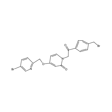 O=C(Cn1ccc(OCc2ccc(Br)cn2)cc1=O)c1ccc(CBr)cc1